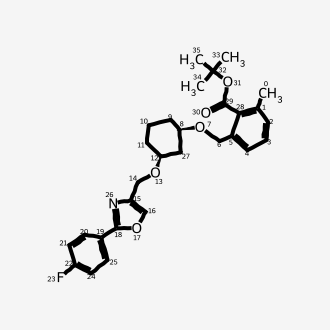 Cc1cccc(CO[C@@H]2CCC[C@H](OCc3coc(-c4ccc(F)cc4)n3)C2)c1C(=O)OC(C)(C)C